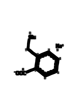 CC(C)(C)Cc1ccccc1C(=O)[O-].[Na+]